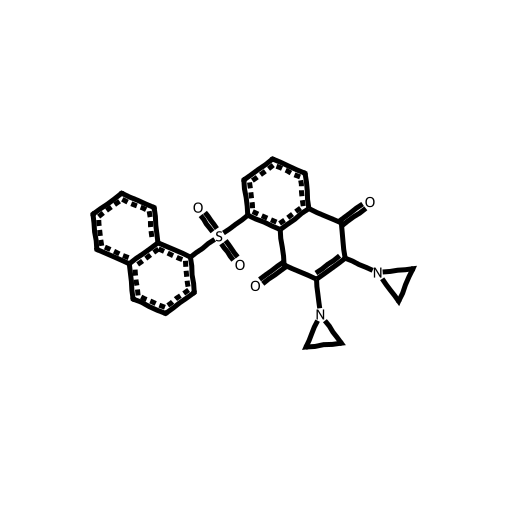 O=C1C(N2CC2)=C(N2CC2)C(=O)c2c1cccc2S(=O)(=O)c1cccc2ccccc12